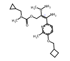 Cc1nc(/C(N)=C(\COC(=O)N(C)CC2CC2)N(C)N)ccc1OCC1CCC1